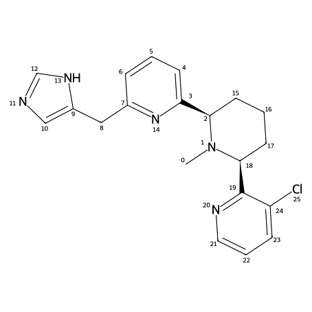 CN1[C@@H](c2cccc(Cc3cnc[nH]3)n2)CCC[C@H]1c1ncccc1Cl